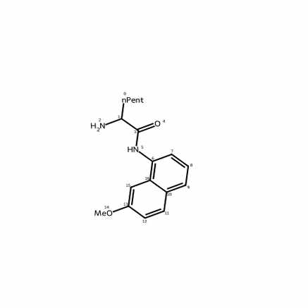 CCCCCC(N)C(=O)Nc1cccc2ccc(OC)cc12